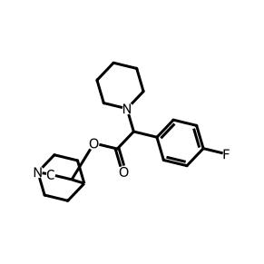 O=C(OC1CN2CCC1CC2)C(c1ccc(F)cc1)N1CCCCC1